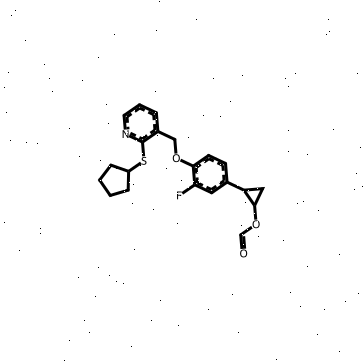 O=COC1CC1c1ccc(OCc2cccnc2SC2CCCC2)c(F)c1